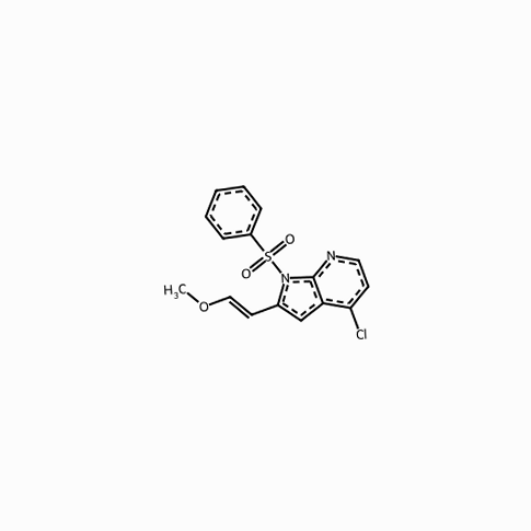 COC=Cc1cc2c(Cl)ccnc2n1S(=O)(=O)c1ccccc1